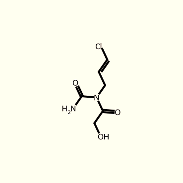 NC(=O)N(CC=CCl)C(=O)CO